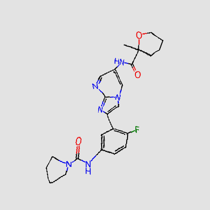 CC1(C(=O)Nc2cnc3nc(-c4cc(NC(=O)N5CCCC5)ccc4F)cn3c2)CCCCO1